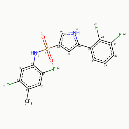 O=S(=O)(Nc1cc(F)c(C(F)(F)F)cc1F)c1c[nH]c(-c2cccc(F)c2F)c1